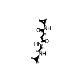 O=C(CCC(=O)NC1CC1)NCCNC1CC1